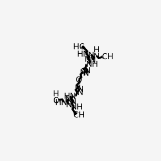 C#CCNc1nc(NCC#C)nc(NCc2cn(CCOCCn3cc(CNc4nc(NCC#C)nc(NCC#C)n4)nn3)nn2)n1